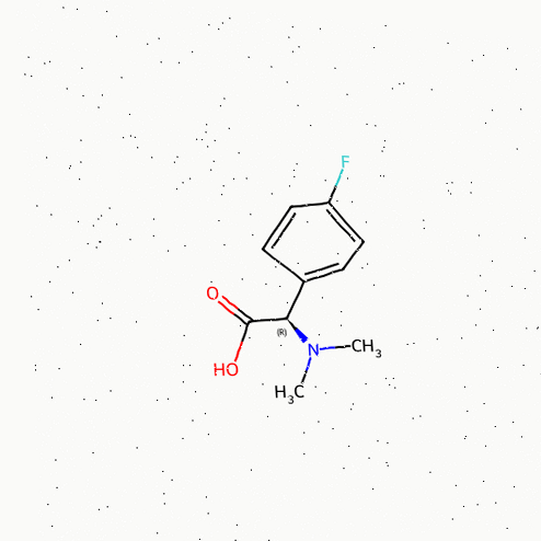 CN(C)[C@@H](C(=O)O)c1ccc(F)cc1